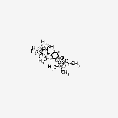 CCO[Si](OCC)(OCC)Oc1ccc(C2=[N+]([O-])C(C)(C)C(C)(C)N2O)cc1